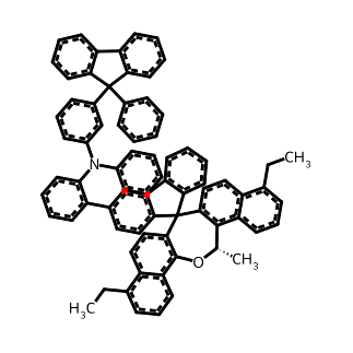 CCc1cccc2c3c(ccc12)C1(c2ccccc2-c2cc(-c4ccccc4N(c4ccccc4)c4cccc(C5(c6ccccc6)c6ccccc6-c6ccccc65)c4)ccc21)c1ccc2c(CC)cccc2c1[C@H](C)O3